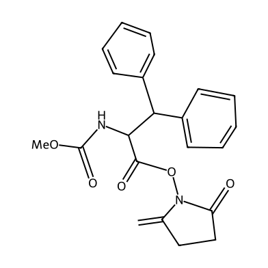 C=C1CCC(=O)N1OC(=O)C(NC(=O)OC)C(c1ccccc1)c1ccccc1